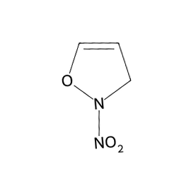 O=[N+]([O-])N1CC=CO1